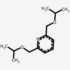 CC(C)OCc1cccc(COC(C)C)n1